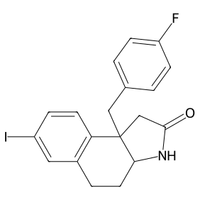 O=C1CC2(Cc3ccc(F)cc3)c3ccc(I)cc3CCC2N1